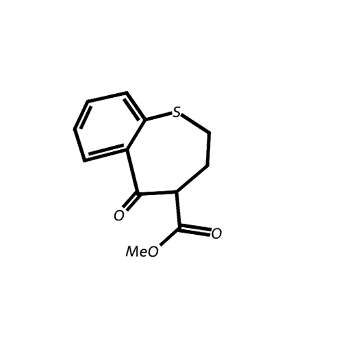 COC(=O)C1CCSc2ccccc2C1=O